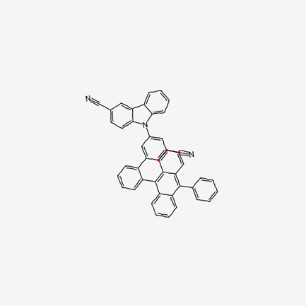 N#Cc1cc(-c2ccccc2-c2c3ccccc3c(-c3ccccc3)c3ccccc23)cc(-n2c3ccccc3c3cc(C#N)ccc32)c1